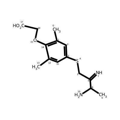 Cc1cc(SCC(=N)C(C)N)cc(C)c1OCC(=O)O